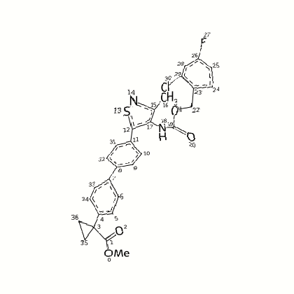 COC(=O)C1(c2ccc(-c3ccc(-c4snc(C)c4NC(=O)OCc4ccc(F)cc4Cl)cc3)cc2)CC1